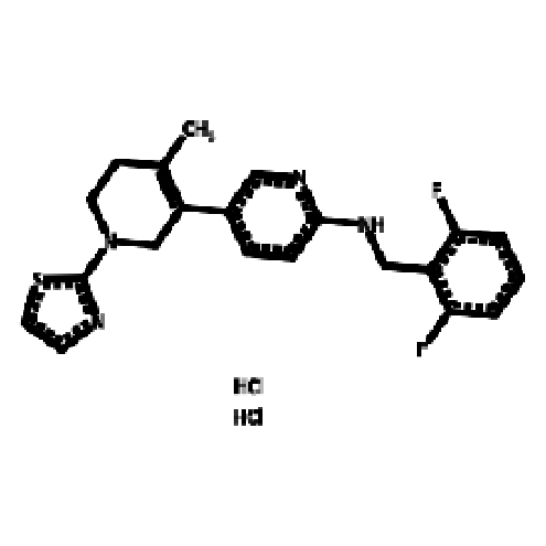 CC1=C(c2ccc(NCc3c(F)cccc3F)nc2)CN(c2nccs2)CC1.Cl.Cl